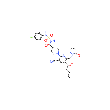 CCCCC(=O)c1cc(C#N)c(N2CCC(C(=O)NS(=O)(=O)Nc3ccc(F)cc3)CC2)nc1CN1CCCC1=O